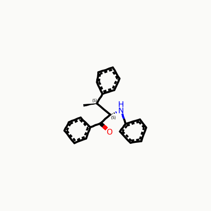 C[C@@H](c1ccccc1)[C@H](Nc1ccccc1)C(=O)c1ccccc1